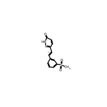 CS(=O)(=O)c1cccc(/C=C/c2ccc(=O)[nH]n2)c1